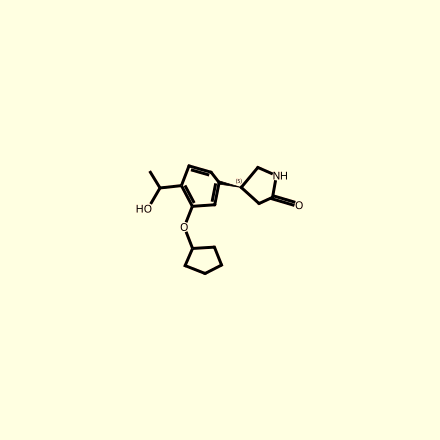 CC(O)c1ccc([C@H]2CNC(=O)C2)cc1OC1CCCC1